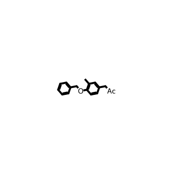 CC(=O)Cc1ccc(OCc2ccccc2)c(C)c1